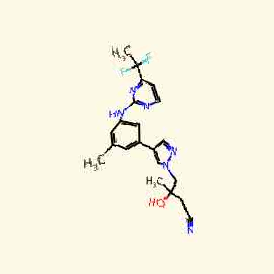 Cc1cc(Nc2nccc(C(C)(F)F)n2)cc(-c2cnn(CC(C)(O)CC#N)c2)c1